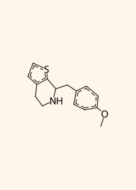 COc1ccc(CC2NCCc3ccsc32)cc1